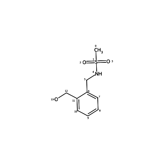 CS(=O)(=O)NCc1ccccc1C[O]